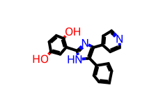 Oc1ccc(O)c(-c2nc(-c3ccncc3)c(-c3ccccc3)[nH]2)c1